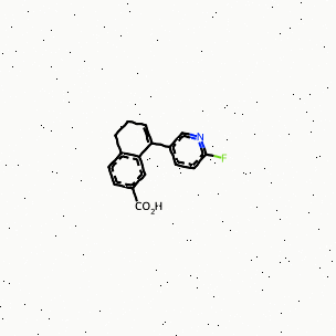 O=C(O)c1ccc2c(c1)C(c1ccc(F)nc1)=CCC2